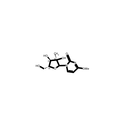 COc1ccn(C2O[C@H](CO)[C@@H](O)[C@@]2(C)O)c(=O)n1